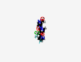 [2H]C(Oc1cc(C)n(-c2cc(C(C)=O)ncc2C)c(=O)c1Cl)c1ncc(F)cc1F